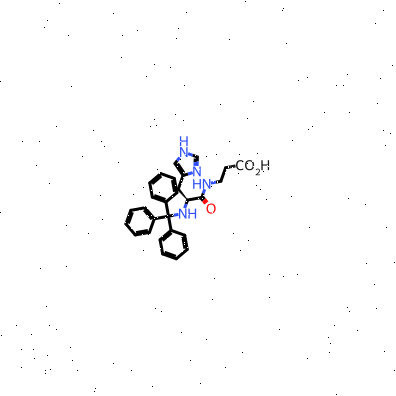 O=C(O)CCNC(=O)[C@H](Cc1c[nH]cn1)NC(c1ccccc1)(c1ccccc1)c1ccccc1